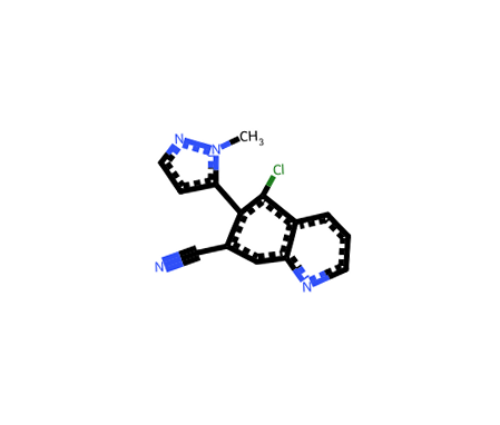 Cn1nccc1-c1c(C#N)cc2ncccc2c1Cl